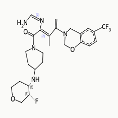 C=C(/C(C)=C(\N=C/N)C(=O)N1CCC(N[C@H]2CCOC[C@H]2F)CC1)N1COc2ccc(C(F)(F)F)cc2C1